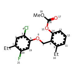 CCc1cc(Cl)c(OCc2c(CC)cccc2OC(=O)OC)cc1F